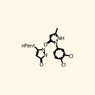 CCCCCC1=CC(=O)N=N1.Cc1cc(=O)n(-c2ccc(Cl)c(Cl)c2)[nH]1